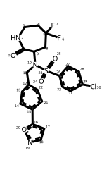 O=C1NCCC(F)(F)CC1N(Cc1ccc(-c2ccno2)cc1)S(=O)(=O)c1ccc(Cl)cc1